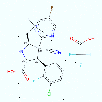 CC(C)(C)C[C@@H]1N[C@@H](C(=O)O)[C@H](c2cccc(Cl)c2F)[C@]1(C#N)c1ncc(Br)cn1.O=C(O)C(F)(F)F